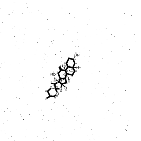 C=C1[C@@H](O)[C@]2(C)[C@@H]3[C@H](C[C@H]2[C@@H]2CC[C@H]4C[C@@H](O)CC[C@]4(C)[C@@H]12)O[C@]1(CCC(C)CO1)[C@H]3C